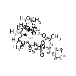 C=CCOC(=O)[C@@H](C)C[C@H](Cc1ccccc1)NC(=O)c1csc([C@@H](C[C@H](C(C)C)N(C)C(=O)OC(C)(C)C)OC)n1